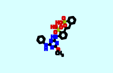 COc1nc(Nc2ccccc2)nc(Nc2cccc(/C=C/c3ccccc3S(=O)(=O)O)c2S(=O)(=O)O)n1